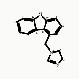 C1=NCCN1Cc1cccc2oc3ccccc3c12